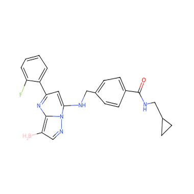 Bc1cnn2c(NCc3ccc(C(=O)NCC4CC4)cc3)cc(-c3ccccc3F)nc12